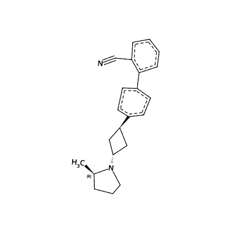 C[C@@H]1CCCN1[C@H]1C[C@H](c2ccc(-c3ccccc3C#N)cc2)C1